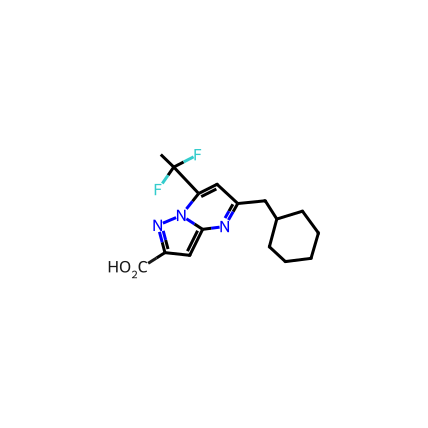 CC(F)(F)c1cc(CC2CCCCC2)nc2cc(C(=O)O)nn12